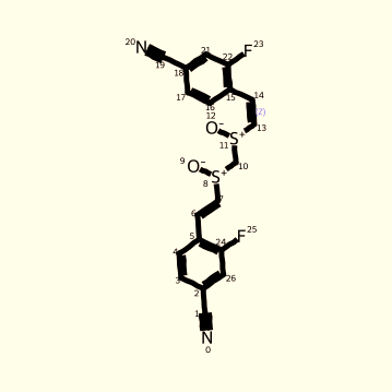 N#Cc1ccc(C=C[S+]([O-])C[S+]([O-])/C=C\c2ccc(C#N)cc2F)c(F)c1